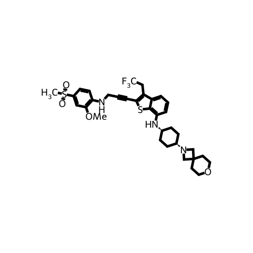 COc1cc(S(C)(=O)=O)ccc1NCC#Cc1sc2c(N[C@H]3CC[C@@H](N4CC5(CCOCC5)C4)CC3)cccc2c1CC(F)(F)F